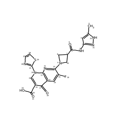 Cc1cc(NC(=O)C2CN(c3nc4c(cc3F)c(=O)c(C(=O)O)cn4-c3nccs3)C2)n[nH]1